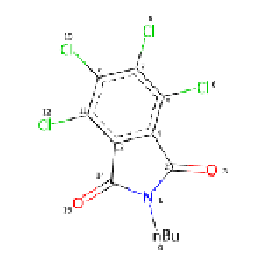 CCCCN1C(=O)c2c(Cl)c(Cl)c(Cl)c(Cl)c2C1=O